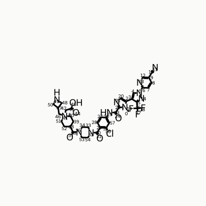 Cn1c(-c2cn(-c3ccc(C#N)cn3)nc2C(F)(F)F)cnc1C(=O)Nc1ccc(C(=O)N2CCN(C(=O)C3CC[N+](CC(=O)O)(CC4CNC4)CC3)CC2)c(Cl)c1